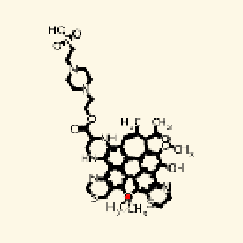 COc1c(O)c2c3c(c(OC)c4c5c(OC)c6c(c7c8c(c9c(c(c1C(C(C)=O)C(C)=C9)c24)c75)NC(C(=O)OCCN1CCN(CCS(=O)(=O)O)CC1)CN8)=NCSC6)SCCN=3